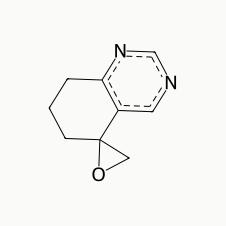 c1ncc2c(n1)CCCC21CO1